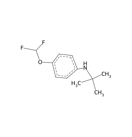 CC(C)(C)Nc1ccc(OC(F)F)cc1